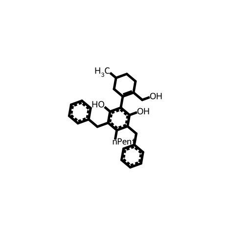 CCCCCc1c(Cc2ccccc2)c(O)c(C2=C(CO)CCC(C)C2)c(O)c1Cc1ccccc1